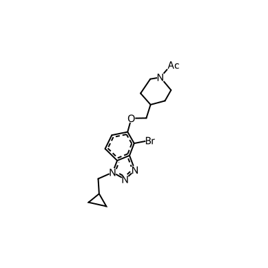 CC(=O)N1CCC(COc2ccc3c(nnn3CC3CC3)c2Br)CC1